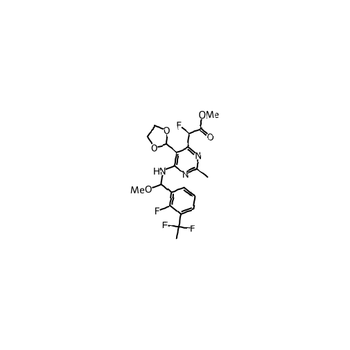 COC(=O)C(F)c1nc(C)nc(NC(OC)c2cccc(C(C)(F)F)c2F)c1C1OCCO1